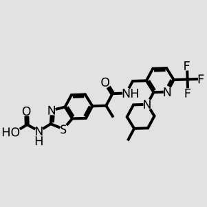 CC1CCN(c2nc(C(F)(F)F)ccc2CNC(=O)C(C)c2ccc3nc(NC(=O)O)sc3c2)CC1